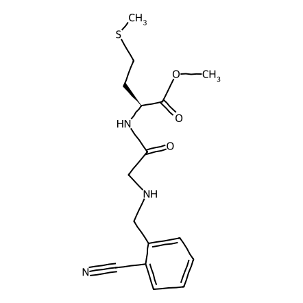 COC(=O)[C@H](CCSC)NC(=O)CNCc1ccccc1C#N